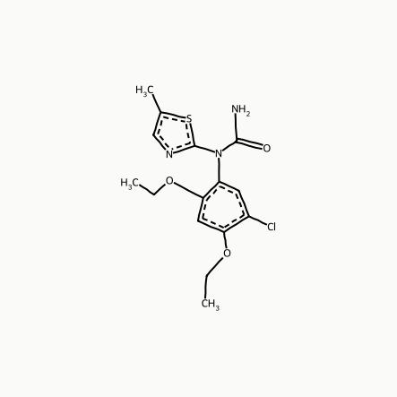 CCOc1cc(OCC)c(N(C(N)=O)c2ncc(C)s2)cc1Cl